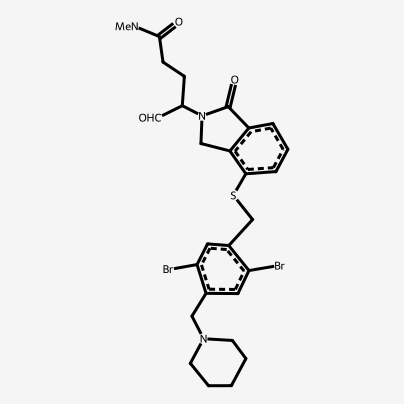 CNC(=O)CCC(C=O)N1Cc2c(SCc3cc(Br)c(CN4CCCCC4)cc3Br)cccc2C1=O